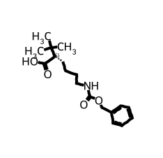 CC(C)(C)[C@H](CCCCNC(=O)OCc1ccccc1)C(=O)O